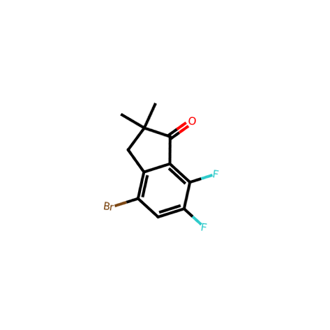 CC1(C)Cc2c(Br)cc(F)c(F)c2C1=O